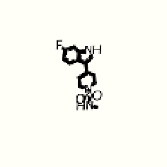 CNS(=O)(=O)N1CC=C(c2c[nH]c3cc(F)ccc23)CC1